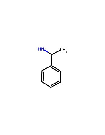 CC([NH])c1ccccc1